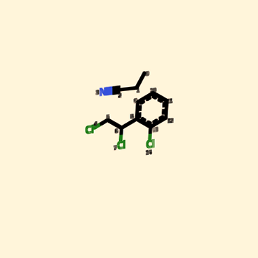 CCC#N.ClCC(Cl)c1ccccc1Cl